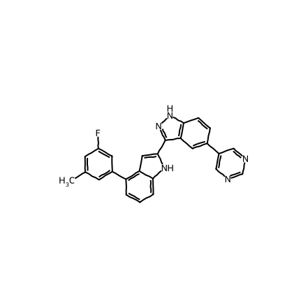 Cc1cc(F)cc(-c2cccc3[nH]c(-c4n[nH]c5ccc(-c6cncnc6)cc45)cc23)c1